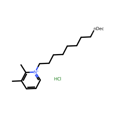 CCCCCCCCCCCCCCCCCC[n+]1cccc(C)c1C.Cl